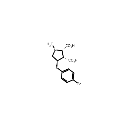 CN1C[C@H](Sc2ccc(Br)cc2)[C@@H](C(=O)O)[C@H]1C(=O)O